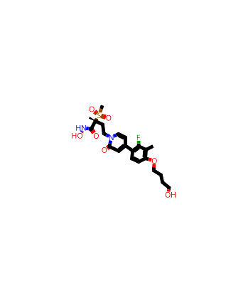 Cc1c(OCCCCO)ccc(-c2ccn(CC[C@](C)(C(=O)NO)S(C)(=O)=O)c(=O)c2)c1F